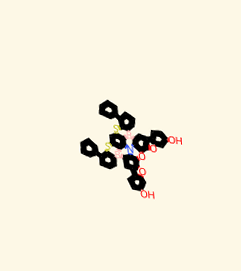 Oc1ccc2c(c1)oc1c3c4c(cc12)B1c2cccc(-c5ccccc5)c2Sc2cc5c6c(c21)N4c1c(cc2c(oc4cc(O)ccc42)c1O3)B6c1cccc(-c2ccccc2)c1S5